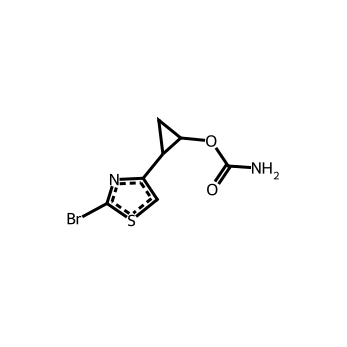 NC(=O)OC1CC1c1csc(Br)n1